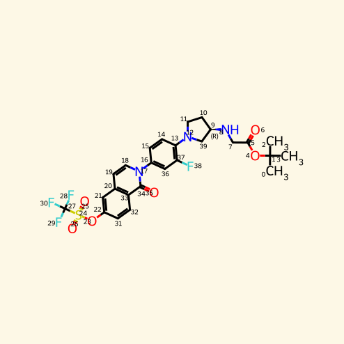 CC(C)(C)OC(=O)CN[C@@H]1CCN(c2ccc(-n3ccc4cc(OS(=O)(=O)C(F)(F)F)ccc4c3=O)cc2F)C1